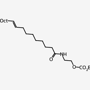 CCCCCCCCC=CCCCCCCCC(=O)NCCOC(=O)OCC